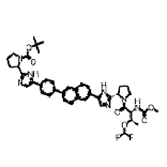 COC(=O)N[C@H](C(=O)N1CCC[C@H]1c1ncc(-c2ccc3cc(-c4ccc(-c5cnc(C6CCCN6C(=O)OC(C)(C)C)[nH]5)cc4)ccc3c2)[nH]1)[C@@H](C)OC(F)F